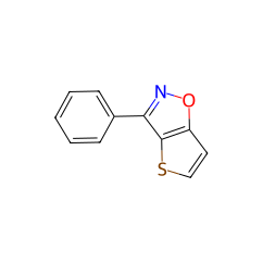 c1ccc(-c2noc3ccsc23)cc1